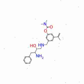 C=C(C)c1cc(CNCC(O)C(N)Cc2ccccc2)cc(OC(=O)N(C)C)c1